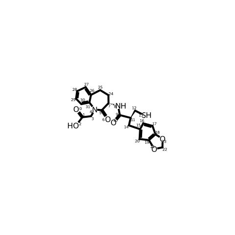 O=C(O)CN1C(=O)[C@@H](NC(=O)[C@@H](CS)Cc2ccc3c(c2)OCO3)CCc2ccccc21